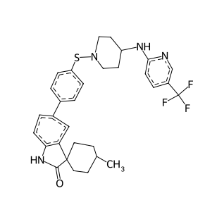 CC1CCC2(CC1)C(=O)Nc1ccc(-c3ccc(SN4CCC(Nc5ccc(C(F)(F)F)cn5)CC4)cc3)cc12